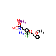 COc1ccccc1CCCOc1ccc(CCC(N)(CO)CO[PH2]=O)cc1C(F)(F)F